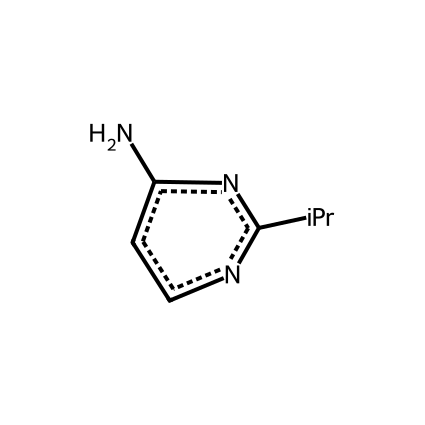 CC(C)c1nccc(N)n1